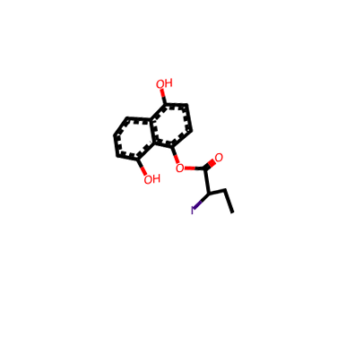 CCC(I)C(=O)Oc1ccc(O)c2cccc(O)c12